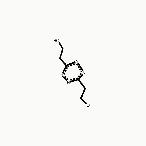 OCCc1nnc(CCO)nn1